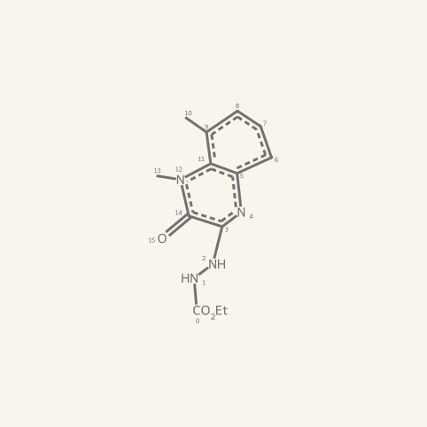 CCOC(=O)NNc1nc2cccc(C)c2n(C)c1=O